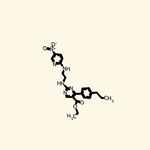 CCCc1ccc(-c2nc(NCCNc3ccc([N+](=O)[O-])cn3)ncc2C(=O)OCC)cc1